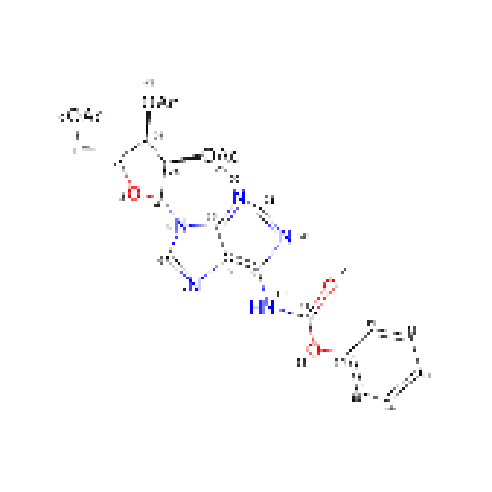 CC(=O)OC[C@H]1O[C@@H](n2cnc3c(NC(=O)Oc4ccccc4)ncnc32)[C@H](OC(C)=O)[C@@H]1OC(C)=O